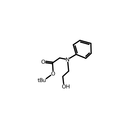 CC(C)(C)OC(=O)CN(CCO)c1ccccc1